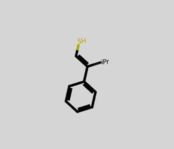 CC(C)C(=CS)c1ccccc1